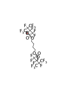 O=S(=O)(OCCCCOS(=O)(=O)C(F)(F)C(F)(F)C(F)(C(F)(F)F)C(F)(F)F)C(F)(F)C(F)(F)C(F)(C(F)(F)F)C(F)(F)F